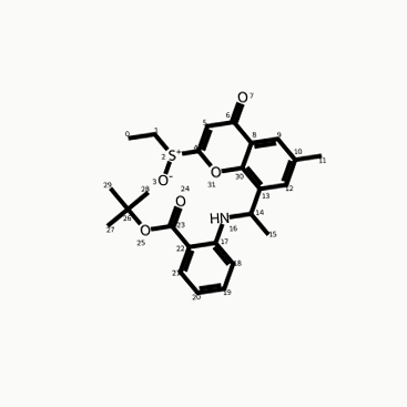 CC[S+]([O-])c1cc(=O)c2cc(C)cc(C(C)Nc3ccccc3C(=O)OC(C)(C)C)c2o1